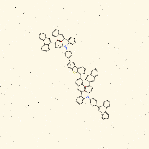 c1ccc(N(c2ccc(-c3ccc4sc5c(-c6ccc7cc(-c8ccccc8N(c8ccc(-c9ccc%10ccccc%10c9)cc8)c8ccc(-c9cc%10ccccc%10c%10ccccc9%10)cc8)ccc7c6)cccc5c4c3)cc2)c2ccc(-c3cc4ccccc4c4ccccc34)cc2)c(-c2ccc3ccccc3c2)c1